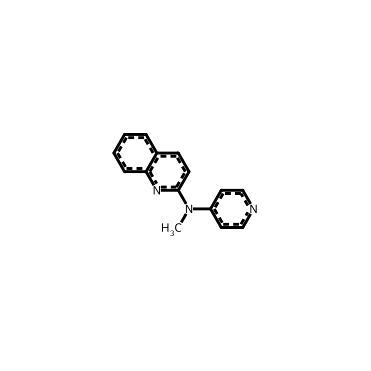 CN(c1ccncc1)c1ccc2ccccc2n1